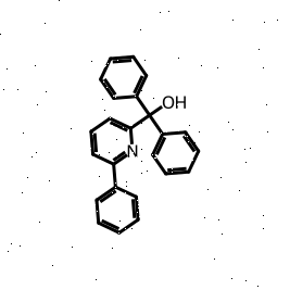 OC(c1ccccc1)(c1ccccc1)c1cccc(-c2ccccc2)n1